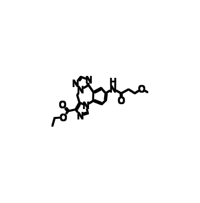 CCOC(=O)c1ncn2c1Cn1ncnc1-c1cc(NC(=O)CCOC)ccc1-2